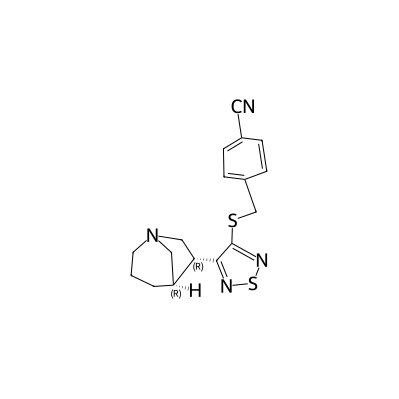 N#Cc1ccc(CSc2nsnc2[C@H]2CN3CCC[C@H]2C3)cc1